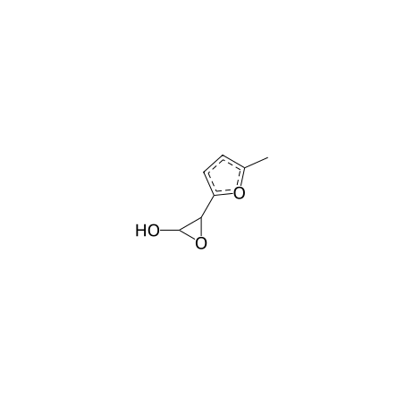 Cc1ccc(C2OC2O)o1